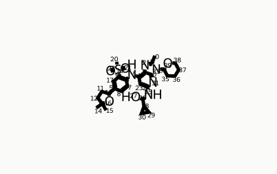 Cc1nc2c(Nc3ccc(C4CCC(C)(C)O4)cc3S(C)(=O)=O)cc(NC(O)C3CC3)nc2n1C1CCCCO1